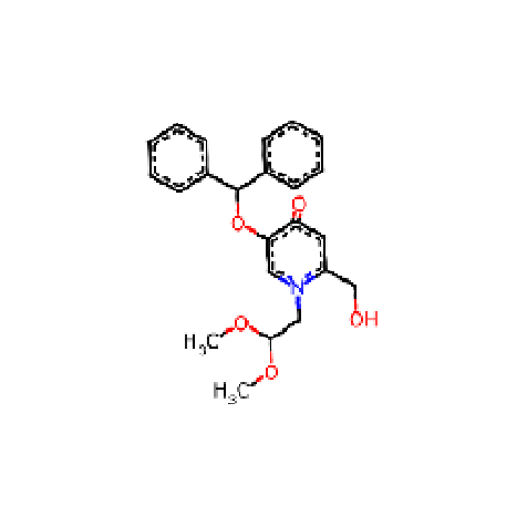 COC(Cn1cc(OC(c2ccccc2)c2ccccc2)c(=O)cc1CO)OC